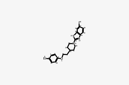 CCc1ccc(OCCC2CCN(c3nc4ccc(I)cc4s3)CC2)cc1